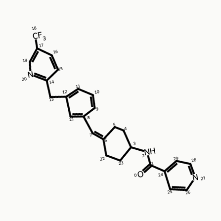 O=C(NC1CCC(=Cc2cccc(Cc3ccc(C(F)(F)F)cn3)c2)CC1)c1ccncc1